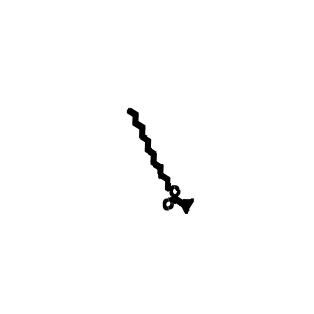 CCCCCCCCCCCCCOC(=O)C1CC1